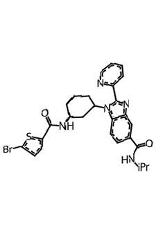 CC(C)NC(=O)c1ccc2c(c1)nc(-c1ccccn1)n2C1CCCC(NC(=O)c2ccc(Br)s2)C1